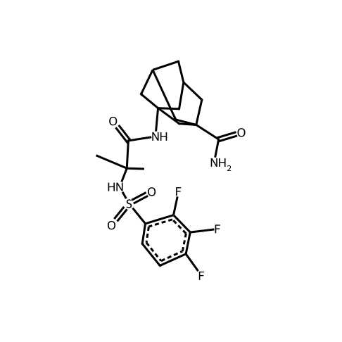 CC(C)(NS(=O)(=O)c1ccc(F)c(F)c1F)C(=O)NC12CC3CC(C1)CC(C(N)=O)(C3)C2